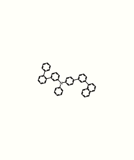 c1ccc(-c2ccccc2-c2cccc(N(c3ccccc3)c3ccc(-c4cccc(-c5cccc6ccccc56)c4)cc3)c2)cc1